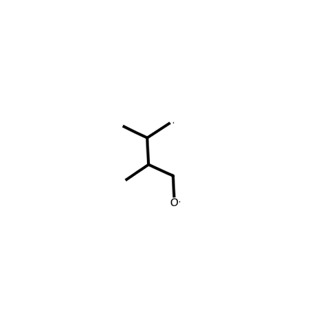 [CH2]C(C)C(C)C[O]